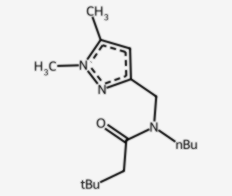 CCCCN(Cc1cc(C)n(C)n1)C(=O)CC(C)(C)C